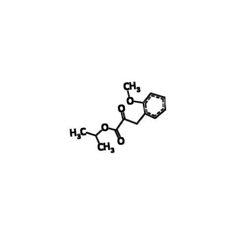 COc1ccccc1CC(=O)C(=O)OC(C)C